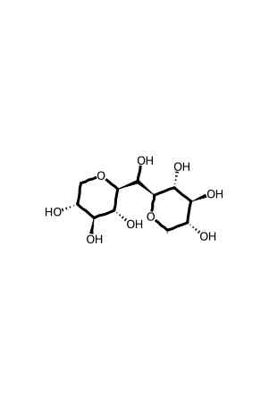 OC([C@@H]1O[CH][C@@H](O)[C@H](O)[C@H]1O)[C@@H]1OC[C@@H](O)[C@H](O)[C@H]1O